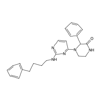 O=C1NCCN(c2ccnc(NCCCCc3ccccc3)n2)C1c1ccccc1